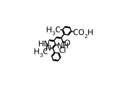 Cc1ccc(C(=O)O)cc1-c1cc2c([nH]c1=O)=C(c1ccccc1Cl)N(C)NC=2